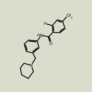 O=C(Nc1cccc(CN2CCCCC2)c1)c1ccc(C(F)(F)F)cc1F